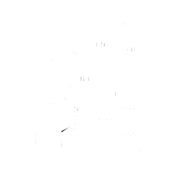 CC(C)NCC(=O)N[C@H](C(=O)N1CC(c2cc(F)ccc2F)=C[C@H]1c1ccccc1)C1CC1